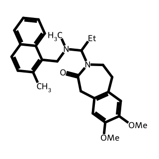 CCC(N(C)Cc1c(C)ccc2ccccc12)N1CCc2cc(OC)c(OC)cc2CC1=O